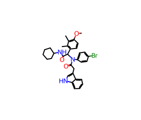 COc1ccc(C(C(=O)NC2CCCCC2)N(C(=O)Cc2c[nH]c3ccccc23)c2ccc(Br)cc2)c(C)c1C